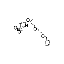 Cc1cc(OC(C)CCOCCCOCc2ccccc2)ncc1[N+](=O)[O-]